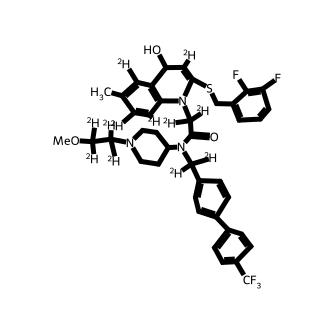 [2H]C1=C(SCc2cccc(F)c2F)N(C([2H])([2H])C(=O)N(C2CCN(C([2H])([2H])C([2H])([2H])OC)CC2)C([2H])([2H])c2ccc(-c3ccc(C(F)(F)F)cc3)cc2)c2c([2H])c([2H])c(C)c([2H])c2C1O